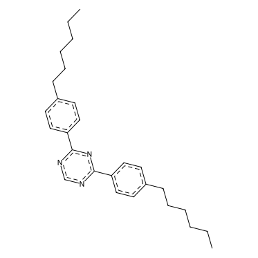 CCCCCCc1ccc(-c2ncnc(-c3ccc(CCCCCC)cc3)n2)cc1